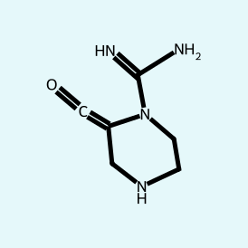 N=C(N)N1CCNCC1=C=O